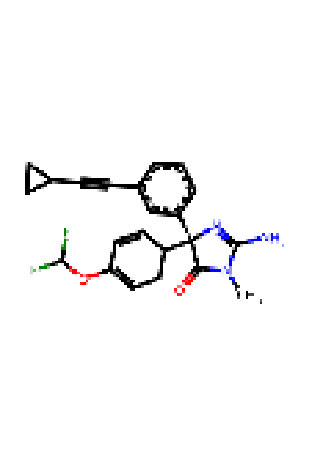 CN1C(=O)[C@](c2cccc(C#CC3CC3)c2)(C2C=CC(OC(F)F)=CC2)N=C1N